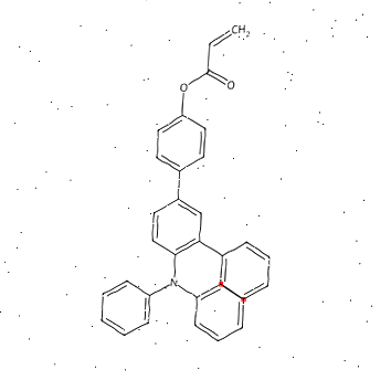 C=CC(=O)Oc1ccc(-c2ccc(N(c3ccccc3)c3ccccc3)c(-c3ccccc3)c2)cc1